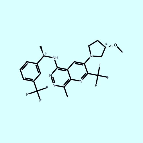 CO[C@H]1CCN(c2cc3c(N[C@H](C)c4cccc(C(F)(F)F)c4)nnc(C)c3nc2C(F)(F)F)C1